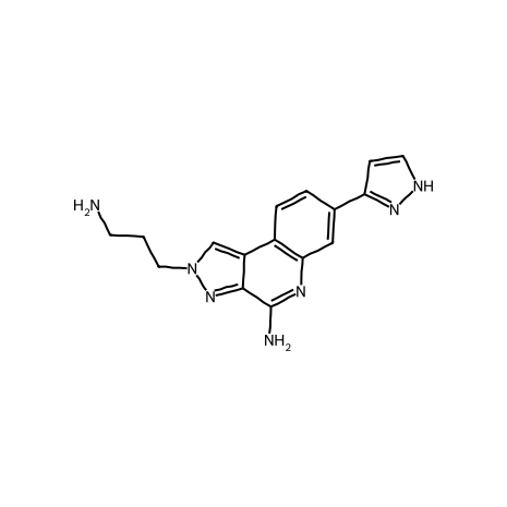 NCCCn1cc2c(n1)c(N)nc1cc(-c3cc[nH]n3)ccc12